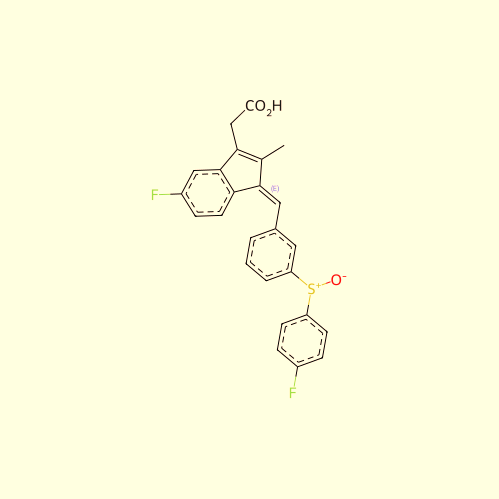 CC1=C(CC(=O)O)c2cc(F)ccc2/C1=C\c1cccc([S+]([O-])c2ccc(F)cc2)c1